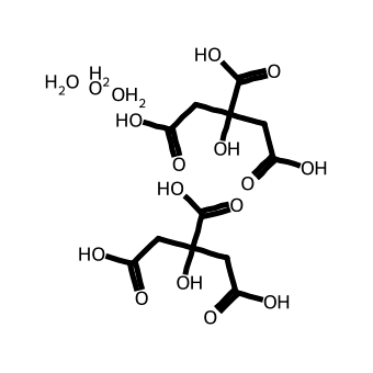 O.O.O.O=C(O)CC(O)(CC(=O)O)C(=O)O.O=C(O)CC(O)(CC(=O)O)C(=O)O